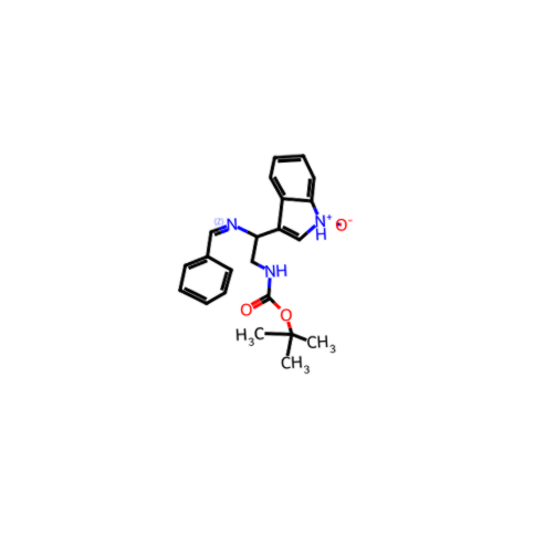 CC(C)(C)OC(=O)NCC(/N=C\c1ccccc1)C1=C[NH+]([O-])c2ccccc21